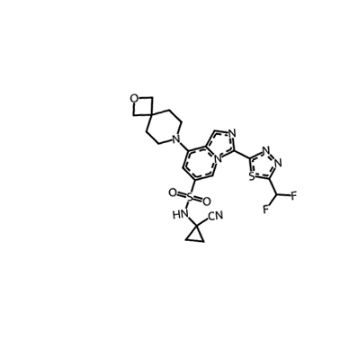 N#CC1(NS(=O)(=O)c2cc(N3CCC4(CC3)COC4)c3cnc(-c4nnc(C(F)F)s4)n3c2)CC1